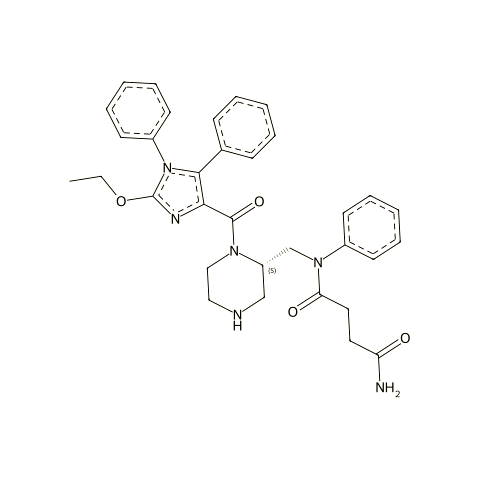 CCOc1nc(C(=O)N2CCNC[C@H]2CN(C(=O)CCC(N)=O)c2ccccc2)c(-c2ccccc2)n1-c1ccccc1